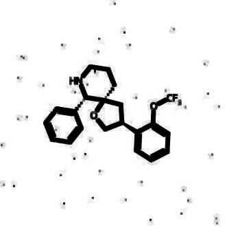 FC(F)(F)Oc1ccccc1[C@H]1CO[C@]2(CCCN[C@H]2c2ccccc2)C1